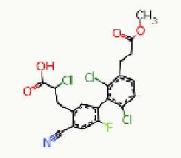 COC(=O)CCc1c[c]c(Cl)c(-c2cc(CC(Cl)C(=O)O)c(C#N)cc2F)c1Cl